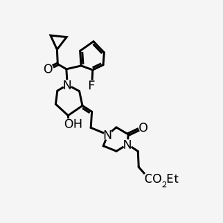 CCOC(=O)CCN1CCN(C/C=C2/CN(C(C(=O)C3CC3)c3ccccc3F)CCC2O)CC1=O